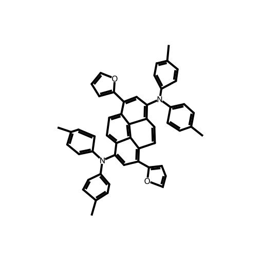 Cc1ccc(N(c2ccc(C)cc2)c2cc(-c3ccco3)c3ccc4c(N(c5ccc(C)cc5)c5ccc(C)cc5)cc(-c5ccco5)c5ccc2c3c54)cc1